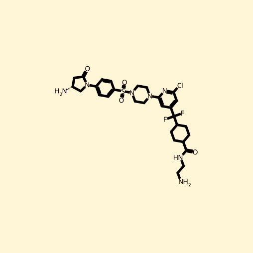 NCCNC(=O)C1CCC(C(F)(F)c2cc(Cl)nc(N3CCN(S(=O)(=O)c4ccc(N5C[C@H](N)CC5=O)cc4)CC3)c2)CC1